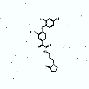 C=C(C(=O)NCCCN1CCCC1=O)c1ccc(Sc2ccc(Cl)cc2Cl)c(N)c1